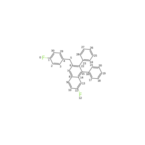 Fc1ccc(Cc2cc3ccc(F)cc3c(-c3ccccc3)c2-c2ccccc2)cc1